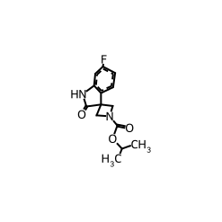 CC(C)OC(=O)N1CC2(C1)C(=O)Nc1cc(F)ccc12